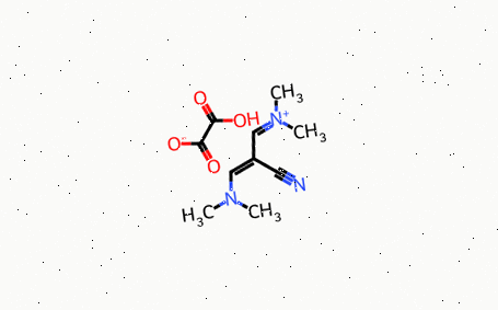 CN(C)C=C(C#N)C=[N+](C)C.O=C([O-])C(=O)O